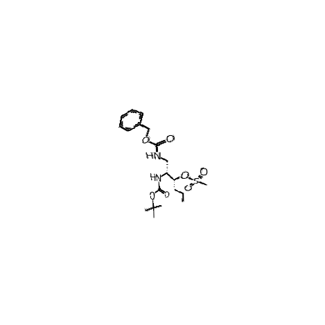 CCC[C@@H](OS(C)(=O)=O)[C@@H](CNC(=O)OCc1ccccc1)NC(=O)OC(C)(C)C